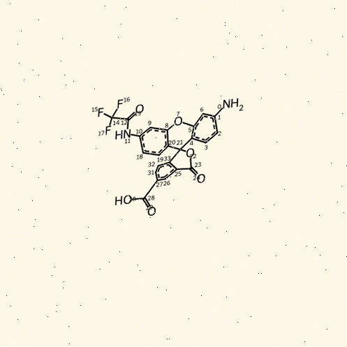 Nc1ccc2c(c1)Oc1cc(NC(=O)C(F)(F)F)ccc1C21OC(=O)c2cc(C(=O)O)ccc21